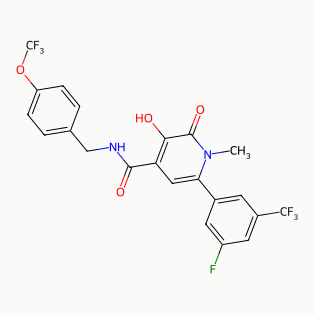 Cn1c(-c2cc(F)cc(C(F)(F)F)c2)cc(C(=O)NCc2ccc(OC(F)(F)F)cc2)c(O)c1=O